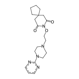 O=C1CC2(CCCC2)CC(=O)N1OCCN1CCN(c2ncccn2)CC1